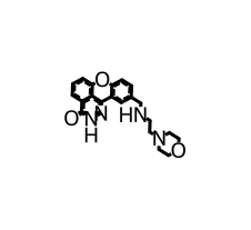 O=c1[nH]nc2c3c(cccc13)Oc1ccc(CNCCN3CCOCC3)cc1-2